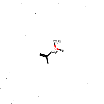 C=C(C)C(=O)O.CCOC(=O)OCC